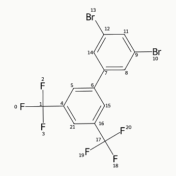 FC(F)(F)c1cc(-c2cc(Br)cc(Br)c2)cc(C(F)(F)F)c1